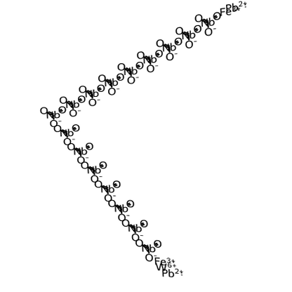 [Fe+3].[Fe+3].[O]=[Nb](=[O])[O-].[O]=[Nb](=[O])[O-].[O]=[Nb](=[O])[O-].[O]=[Nb](=[O])[O-].[O]=[Nb](=[O])[O-].[O]=[Nb](=[O])[O-].[O]=[Nb](=[O])[O-].[O]=[Nb](=[O])[O-].[O]=[Nb](=[O])[O-].[O]=[Nb](=[O])[O-].[O]=[Nb](=[O])[O-].[O]=[Nb](=[O])[O-].[O]=[Nb](=[O])[O-].[O]=[Nb](=[O])[O-].[O]=[Nb](=[O])[O-].[O]=[Nb](=[O])[O-].[Pb+2].[Pb+2].[W+6]